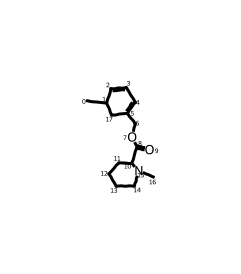 CC1C=CC=C(COC(=O)C2CCCCN2C)C1